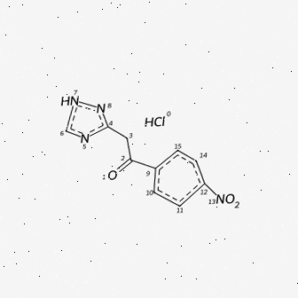 Cl.O=C(Cc1nc[nH]n1)c1ccc([N+](=O)[O-])cc1